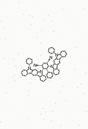 N#Cc1cc(C#N)c(-n2c3ccccc3c3cc4c5ccccc5n(-c5ccccc5)c4cc32)c(-c2ccccc2)c1-n1c2ccccc2c2cc3c4ccccc4n(-c4ccccc4)c3cc21